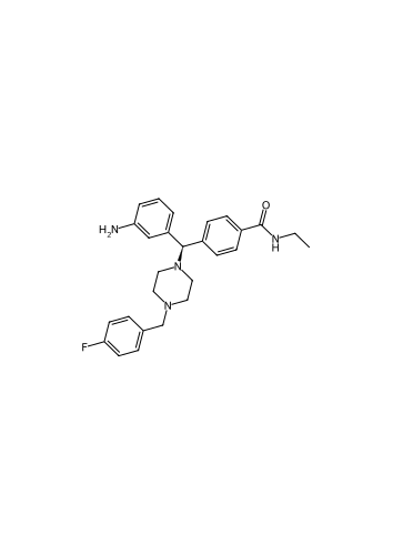 CCNC(=O)c1ccc([C@H](c2cccc(N)c2)N2CCN(Cc3ccc(F)cc3)CC2)cc1